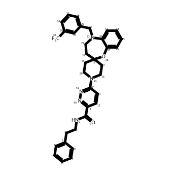 O=C(NCCc1ccccc1)c1ccc(N2CCC3(CC2)CCN(Cc2cccc(C(F)(F)F)c2)c2ccccc2O3)nn1